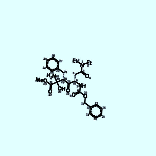 CCN(CC)C(=O)C[C@H](NC(=O)OCc1ccccc1)C(=O)[C@@H](Cc1ccccc1)C(N)(O)C(=O)OC